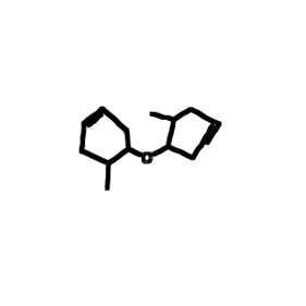 CC1CC=CCC1OC1CC=CCC1C